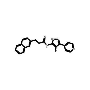 Cc1c(-c2ccncc2)n[nH]c1NC(=O)CCc1ccc2ccccc2c1